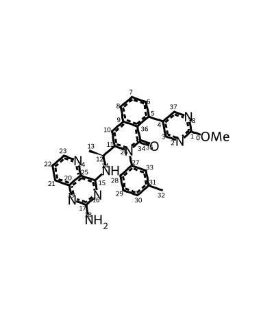 COc1ncc(-c2cccc3cc([C@H](C)Nc4nc(N)nc5cccnc45)n(-c4cccc(C)c4)c(=O)c23)cn1